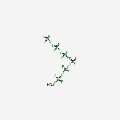 F[B-](F)(F)F.F[B-](F)(F)F.F[B-](F)(F)F.F[B-](F)(F)F.F[B-](F)(F)F.F[B-](F)(F)F.[NaH]